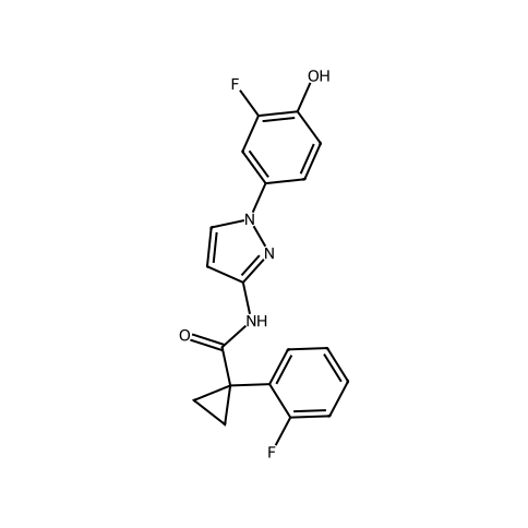 O=C(Nc1ccn(-c2ccc(O)c(F)c2)n1)C1(c2ccccc2F)CC1